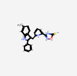 Cc1ccc2c(Cc3cccc(-c4noc(=S)[nH]4)n3)c(-c3ccccc3)[nH]c2c1